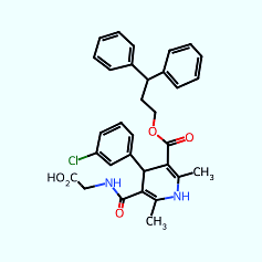 CC1=C(C(=O)NCC(=O)O)C(c2cccc(Cl)c2)C(C(=O)OCCC(c2ccccc2)c2ccccc2)=C(C)N1